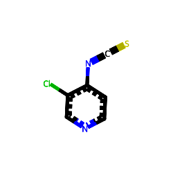 S=C=Nc1ccncc1Cl